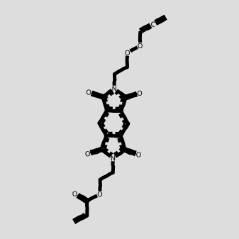 C=C=COOCCn1c(=O)c2cc3c(=O)n(CCOC(=O)C=C)c(=O)c3cc2c1=O